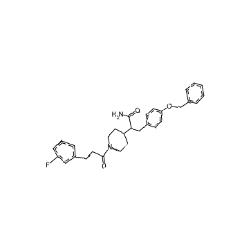 NC(=O)C(Cc1ccc(OCc2ccccc2)cc1)C1CCN(C(=O)CCc2cccc(F)c2)CC1